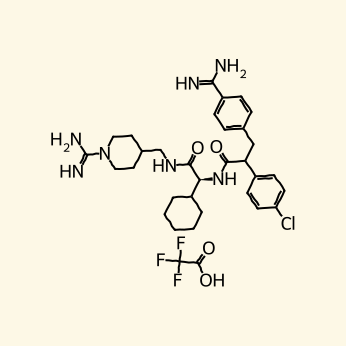 N=C(N)c1ccc(CC(C(=O)N[C@H](C(=O)NCC2CCN(C(=N)N)CC2)C2CCCCC2)c2ccc(Cl)cc2)cc1.O=C(O)C(F)(F)F